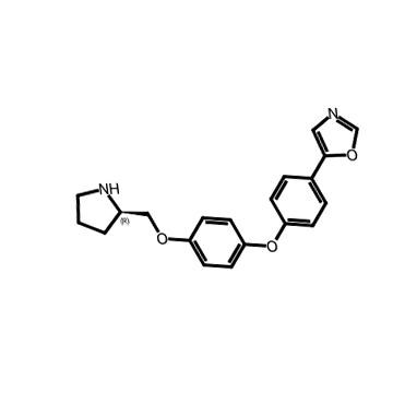 c1ncc(-c2ccc(Oc3ccc(OC[C@H]4CCCN4)cc3)cc2)o1